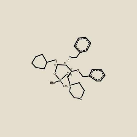 CC(C)(C)[Si](C)(C)O[C@H](CC1CCCCC1)[C@H](OCc1ccccc1)[C@H](CN1CCOCC1)OCc1ccccc1